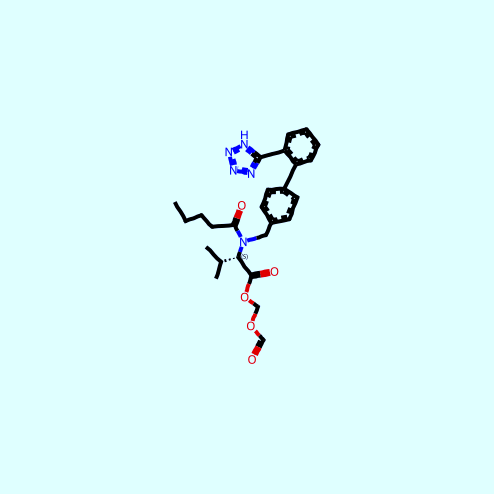 CCCCC(=O)N(Cc1ccc(-c2ccccc2-c2nnn[nH]2)cc1)[C@H](C(=O)OCOC=O)C(C)C